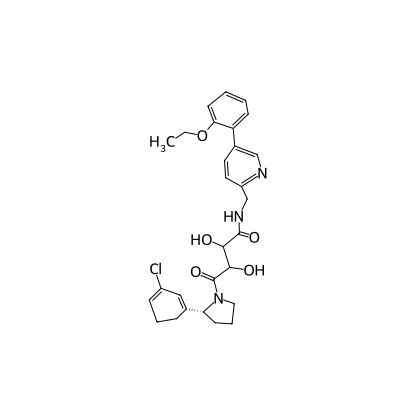 CCOc1ccccc1-c1ccc(CNC(=O)C(O)C(O)C(=O)N2CCC[C@@H]2C2=CC(Cl)=CCC2)nc1